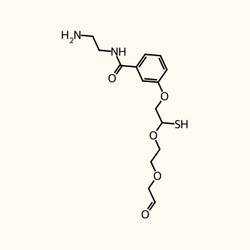 NCCNC(=O)c1cccc(OCC(S)OCCOCC=O)c1